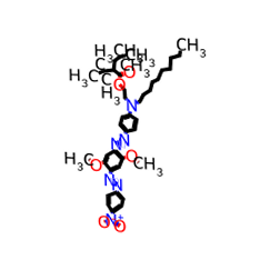 CCCCCCCCCCN(CCOC(=O)C(CC(C)(C)C)C(C)(C)C)c1ccc(/N=N/c2cc(OC)c(/N=N/c3ccc([N+](=O)[O-])cc3)cc2OC)cc1